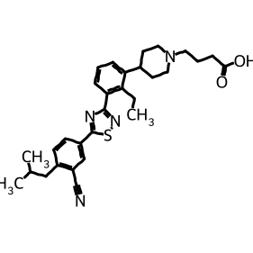 CCc1c(-c2nsc(-c3ccc(CC(C)C)c(C#N)c3)n2)cccc1C1CCN(CCCC(=O)O)CC1